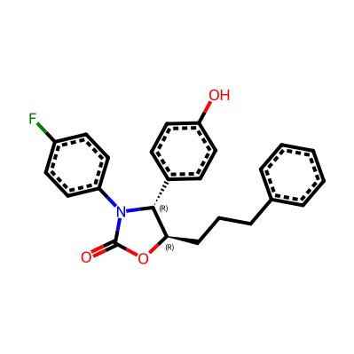 O=C1O[C@H](CCCc2ccccc2)[C@@H](c2ccc(O)cc2)N1c1ccc(F)cc1